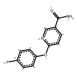 NC(=O)c1ccc(Oc2ccc(F)cc2)nc1